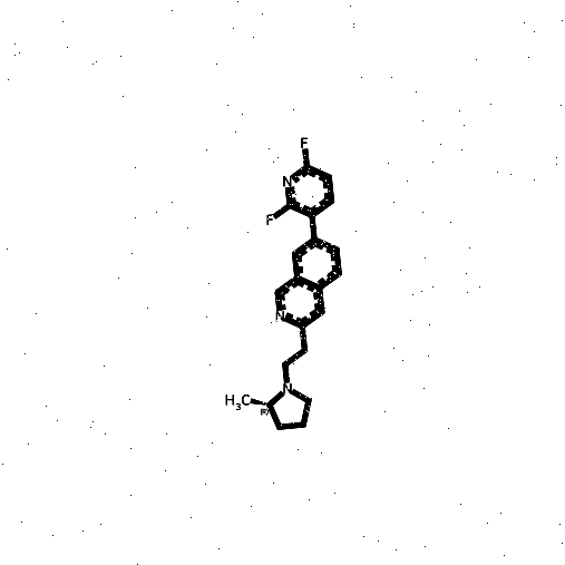 C[C@@H]1CCCN1CCc1cc2ccc(-c3ccc(F)nc3F)cc2cn1